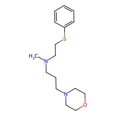 CN(CCCN1CCOCC1)CCSc1ccccc1